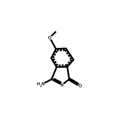 COc1ccc2c(c1)C(N)=NC2=O